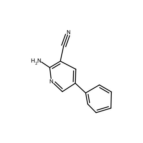 N#Cc1cc(-c2ccccc2)cnc1N